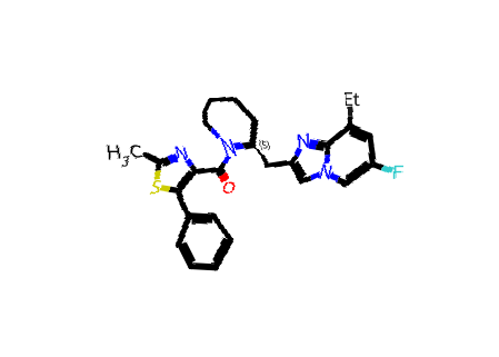 CCc1cc(F)cn2cc(C[C@@H]3CCCCN3C(=O)c3nc(C)sc3-c3ccccc3)nc12